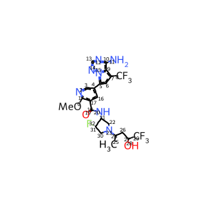 COc1ncc(-c2cc(C(F)(F)F)c3c(N)ncnn23)cc1C(=O)N[C@@H]1CN(C(C)CC(O)C(F)(F)F)C[C@@H]1F